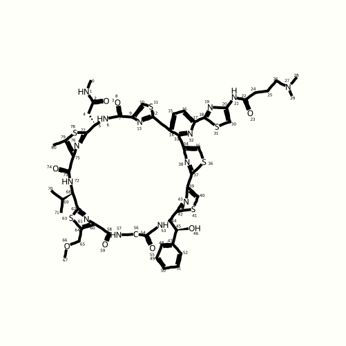 CNC(=O)C[C@@H]1NC(=O)c2csc(n2)-c2ccc(-c3nc(NC(=O)CCCN(C)C)cs3)nc2-c2csc(n2)-c2csc(n2)[C@H]([C@@H](O)c2ccccc2)NC(=O)CNC(=O)c2nc(sc2COC)[C@@H](C(C)C)NC(=O)c2nc1sc2C